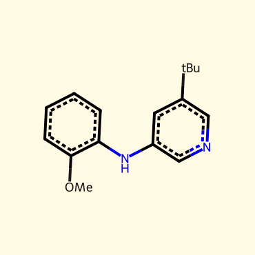 COc1ccccc1Nc1cncc(C(C)(C)C)c1